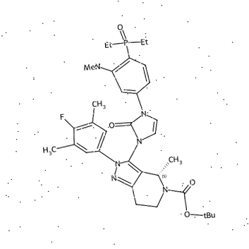 CCP(=O)(CC)c1ccc(-n2ccn(-c3c4c(nn3-c3cc(C)c(F)c(C)c3)CCN(C(=O)OC(C)(C)C)[C@H]4C)c2=O)cc1NC